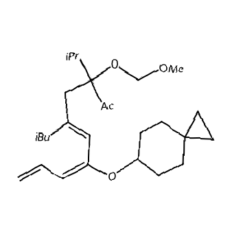 C=C/C=C(\C=C(\CC(OCOC)(C(C)=O)C(C)C)C(C)CC)OC1CCC2(CC1)CC2